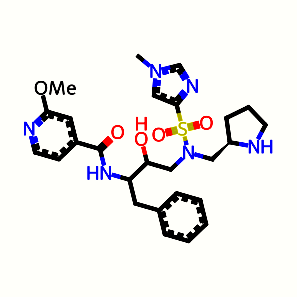 COc1cc(C(=O)NC(Cc2ccccc2)C(O)CN(C[C@H]2CCCN2)S(=O)(=O)c2cn(C)cn2)ccn1